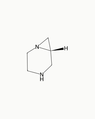 C1CN2C[C@@H]2CN1